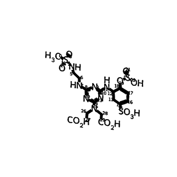 CS(=O)(=O)NCCNc1nc(NC2CC(S(=O)(=O)O)=CC=C2OS(=O)O)nc(N(CC(=O)O)CC(=O)O)n1